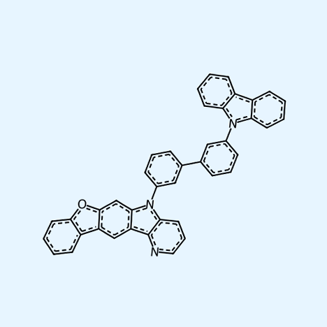 c1cc(-c2cccc(-n3c4cc5oc6ccccc6c5cc4c4ncccc43)c2)cc(-n2c3ccccc3c3ccccc32)c1